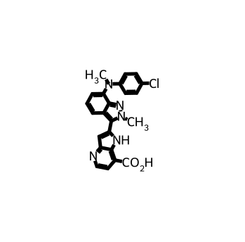 CN(c1ccc(Cl)cc1)c1cccc2c(-c3cc4nccc(C(=O)O)c4[nH]3)n(C)nc12